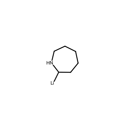 [Li][CH]1CCCCCN1